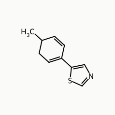 CC1C=CC(c2cncs2)=CC1